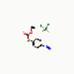 CC(C)(C)OC(=O)Sc1ccc([N+]#N)cc1.F[B-](F)(F)F